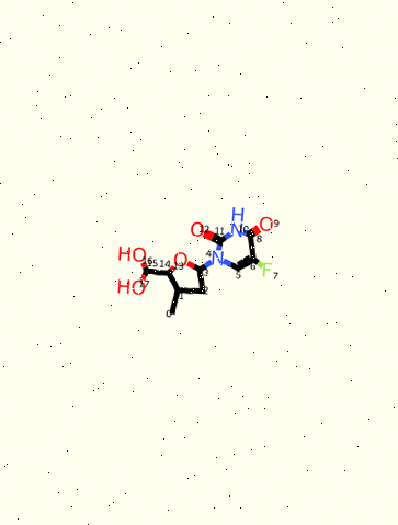 CC1CC(n2cc(F)c(=O)[nH]c2=O)OC1C(O)O